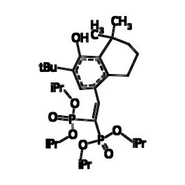 CC(C)OP(=O)(OC(C)C)C(=Cc1cc(C(C)(C)C)c(O)c2c1CCCC2(C)C)P(=O)(OC(C)C)OC(C)C